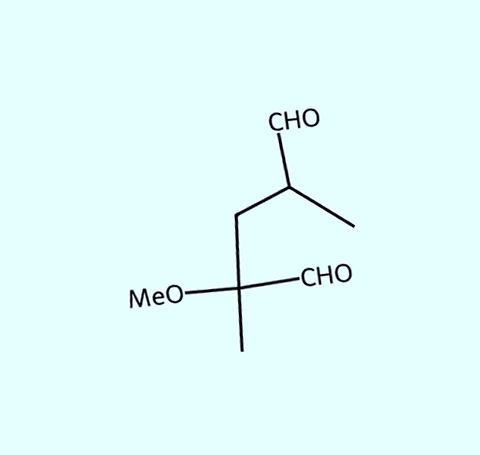 COC(C)(C=O)CC(C)C=O